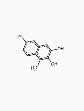 Cc1c(O)c(O)cc2c[n+](C(C)C)ccc12